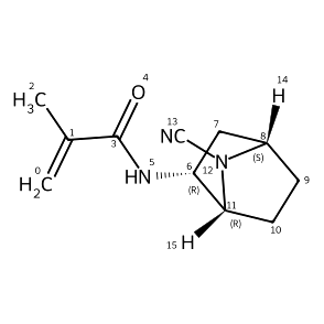 C=C(C)C(=O)N[C@@H]1C[C@@H]2CC[C@H]1N2C#N